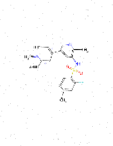 C=N/C(=C\C(=C/C)c1cnc(C)c(NS(=O)(=O)c2ccc(C)cc2F)c1)NC(C)=O